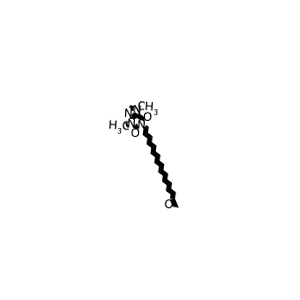 Cn1cnc2c1c(=O)n(CCCCCCCCCCCCCCCC1CO1)c(=O)n2C